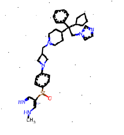 CN/C=C(\C=N)[S+]([O-])c1ccc(N2CC(CN3CCC(C(Cn4ccnc4)(c4ccccc4)C4CCCC4)CC3)C2)cc1